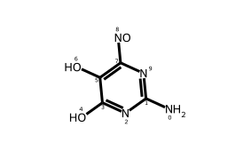 Nc1nc(O)c(O)c(N=O)n1